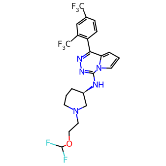 FC(F)OCCN1CCC[C@@H](Nc2nnc(-c3ccc(C(F)(F)F)cc3C(F)(F)F)c3cccn23)C1